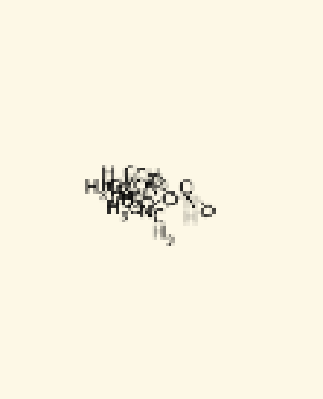 Cc1nc(C)c([C@H](OC(C)(C)C)C(=O)OC(C)C)c(N2CC3CCC2C3)c1-c1ccc(C(=O)NCc2ccccc2)cc1